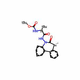 C[C@H]1C(=O)N(NC(=O)[C@@H](NC(=O)OC(C)(C)C)C(C)(C)C)c2ccccc2-c2ccccc21